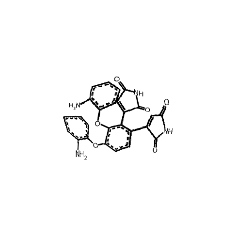 Nc1ccccc1Oc1ccc(C2=CC(=O)NC2=O)c(C2=CC(=O)NC2=O)c1Oc1ccccc1N